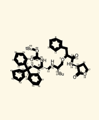 CC[C@H](C)C(COC(Cc1ccccc1)C(=O)N[C@H]1CCOC1=O)NC[C@H](CSC(c1ccccc1)(c1ccccc1)c1ccccc1)NC(=O)OC(C)(C)C